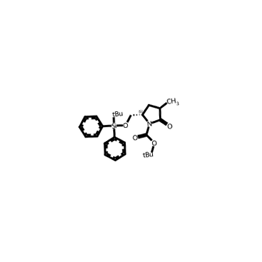 CC1C[C@@H](CO[Si](c2ccccc2)(c2ccccc2)C(C)(C)C)N(C(=O)OC(C)(C)C)C1=O